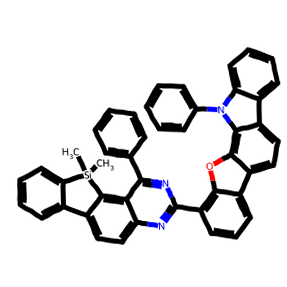 C[Si]1(C)c2ccccc2-c2ccc3nc(-c4cccc5c4oc4c5ccc5c6ccccc6n(-c6ccccc6)c54)nc(-c4ccccc4)c3c21